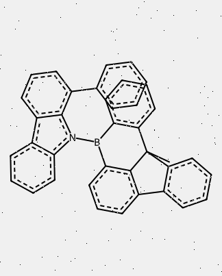 CC12c3ccccc3B(n3c4ccccc4c4cccc(-c5ccccc5)c43)c3cccc(c31)-c1ccccc12